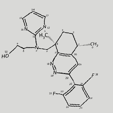 C[C@H]1CC[C@](C)(CN(CCO)c2ncccn2)c2nnc(-c3c(F)cccc3F)cc21